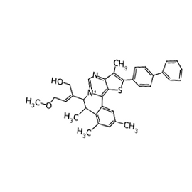 COC/C=C(\CO)C1C(C)c2c(C)cc(C)cc2-c2c3sc(-c4ccc(-c5ccccc5)cc4)c(C)c3nc[n+]21